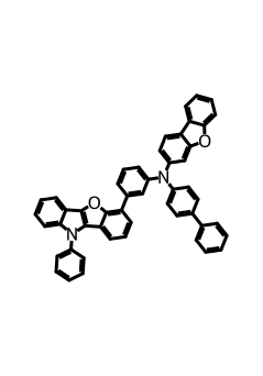 c1ccc(-c2ccc(N(c3cccc(-c4cccc5c4oc4c6ccccc6n(-c6ccccc6)c54)c3)c3ccc4c(c3)oc3ccccc34)cc2)cc1